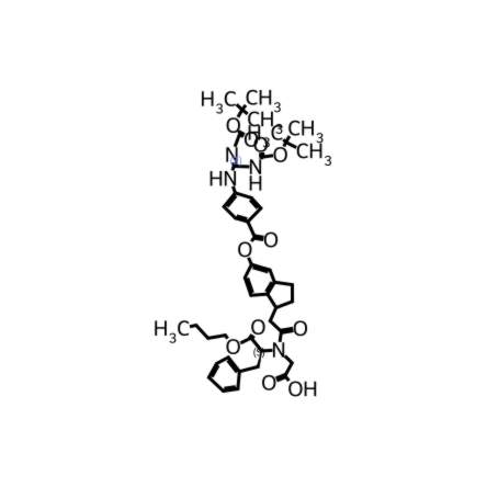 CCCCOC(=O)[C@H](Cc1ccccc1)N(CC(=O)O)C(=O)CC1CCc2cc(OC(=O)c3ccc(N/C(=N/C(=O)OC(C)(C)C)NC(=O)OC(C)(C)C)cc3)ccc21